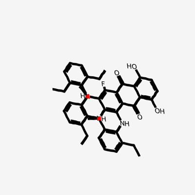 CCc1cccc(CC)c1Nc1c(F)c2c(c(Nc3c(CC)cccc3CC)c1Nc1c(CC)cccc1CC)C(=O)c1c(O)ccc(O)c1C2=O